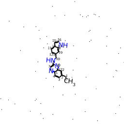 CCc1ccc2ncc(NCc3ccc4cc[nH]c4c3)nc2c1